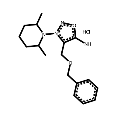 CC1CCCC(C)N1[n+]1noc([NH-])c1COCc1ccccc1.Cl